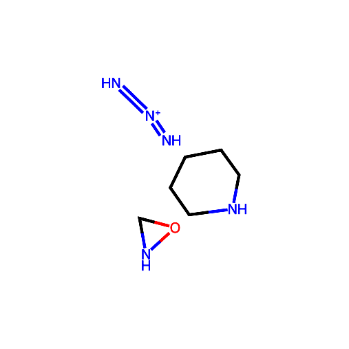 C1CCNCC1.C1NO1.N=[N+]=N